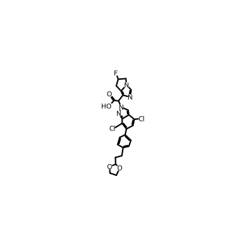 O=C(O)C(c1ncn2c1CC(F)C2)n1cc2c(Cl)cc(-c3ccc(CCC4OCCO4)cc3)c(Cl)c2n1